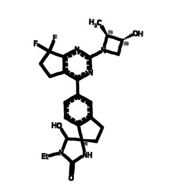 CCN1C(=O)N[C@]2(CCc3cc(-c4nc(N5C[C@@H](O)[C@@H]5C)nc5c4CCC5(F)F)ccc32)C1O